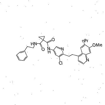 CCCc1cc2c(CCc3ncc(NC(=O)C4(C(=O)NCCc5ccccc5)CC4)cc3Cl)ccnc2cc1OC